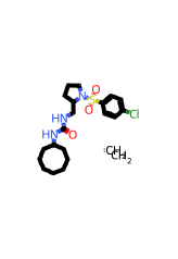 O=C(NCC1CCCN1S(=O)(=O)c1ccc(Cl)cc1)N[C]1CCCCCCC1.[CH2].[CH2]